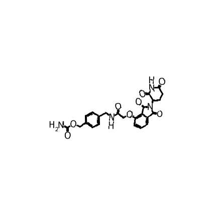 NC(=O)OCc1ccc(CNC(=O)COc2cccc3c2C(=O)N(C2CCC(=O)NC2=O)C3=O)cc1